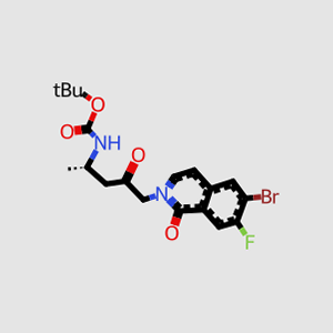 C[C@@H](CC(=O)Cn1ccc2cc(Br)c(F)cc2c1=O)NC(=O)OC(C)(C)C